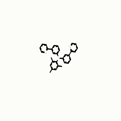 Cc1cc(C)c(N(c2cccc(-c3ccccn3)c2)c2cccc(-c3ccccn3)c2)c(C)c1